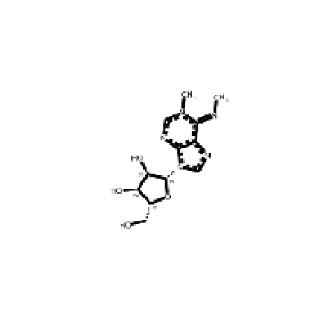 CN=c1c2ncn([C@@H]3O[C@H](CO)[C@@H](O)[C@H]3O)c2ncn1C